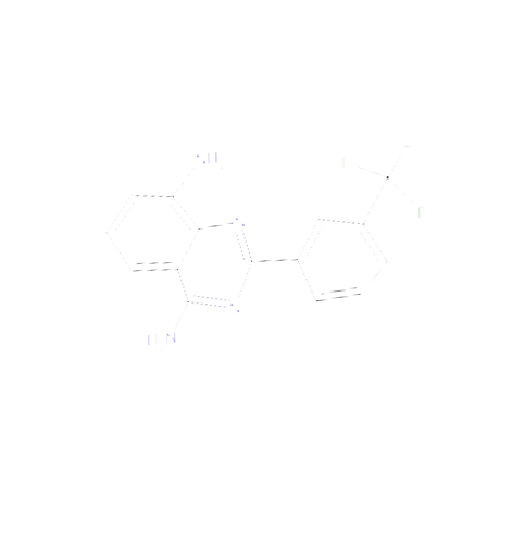 Nc1nc(-c2cccc(C(F)(F)F)c2)nc2c(N)cccc12